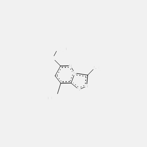 Cc1cc(OC(=O)O)nn2c(N)nnc12.Cl